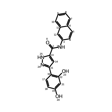 O=C(Nc1ccc2ccccc2c1)c1cc(-c2ccc(O)cc2O)n[nH]1